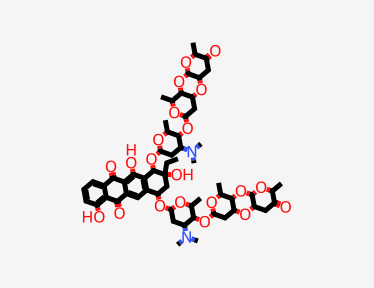 CCC1(O)CC(OC2CC(N(C)C)C(OC3CC4OC5CC(=O)C(C)OC5OC4C(C)O3)C(C)O2)c2cc3c(c(O)c2C1OC1CC(N(C)C)C(OC2CC4OC5CC(=O)C(C)OC5OC4C(C)O2)C(C)O1)C(=O)c1cccc(O)c1C3=O